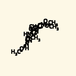 CCOCCNc1ccc(Nc2ncnc(OC3CCN(C(=O)OC(C)C)CC3)c2OC)c(C)n1